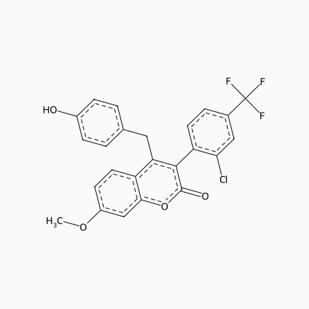 COc1ccc2c(Cc3ccc(O)cc3)c(-c3ccc(C(F)(F)F)cc3Cl)c(=O)oc2c1